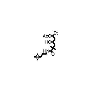 CCC(CC(O)CC(C)(C)C(=O)NCCC[N+](C)(C)C)OC(C)=O